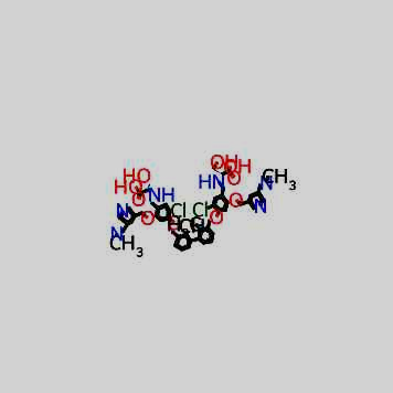 C/N=C/c1cncc(COc2cc(OCc3cccc(-c4cccc(COc5cc(OCc6cncc(/C=N/C)c6)c(CN[C@H](CO)C(=O)O)cc5Cl)c4C)c3C)c(Cl)cc2CN[C@@H](CO)C(=O)O)c1